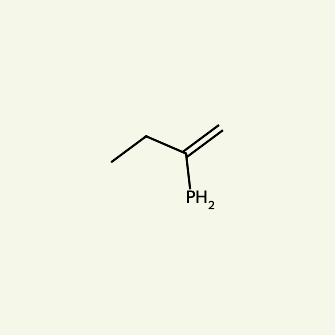 C=C(P)CC